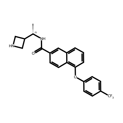 C[C@H](NC(=O)c1ccc2c(Oc3ccc(C(F)(F)F)cc3)cccc2c1)C1CNC1